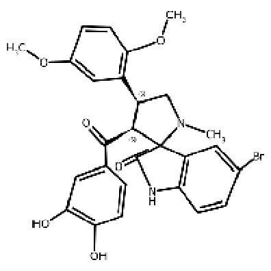 COc1ccc(OC)c([C@H]2CN(C)C3(C(=O)Nc4ccc(Br)cc43)[C@H]2C(=O)c2ccc(O)c(O)c2)c1